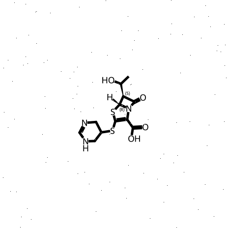 CC(O)[C@H]1C(=O)N2C(C(=O)O)=C(SC3CN=CNC3)S[C@H]12